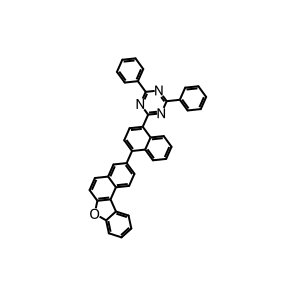 c1ccc(-c2nc(-c3ccccc3)nc(-c3ccc(-c4ccc5c(ccc6oc7ccccc7c65)c4)c4ccccc34)n2)cc1